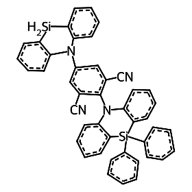 N#Cc1cc(N2c3ccccc3[SiH2]c3ccccc32)cc(C#N)c1N1c2ccccc2[Si](c2ccccc2)(c2ccccc2)c2ccccc21